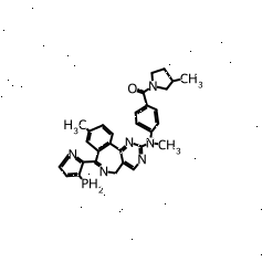 Cc1ccc2c(c1)C(c1ncccc1P)=NCc1cnc(N(C)c3ccc(C(=O)N4CCC(C)C4)cc3)nc1-2